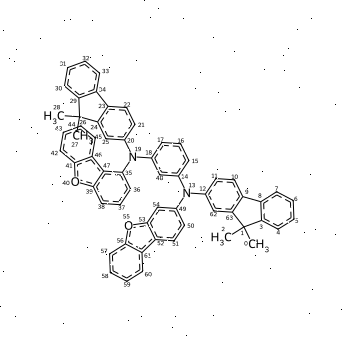 CC1(C)c2ccccc2-c2ccc(N(c3cccc(N(c4ccc5c(c4)C(C)(C)c4ccccc4-5)c4cccc5oc6ccccc6c45)c3)c3ccc4c(c3)oc3ccccc34)cc21